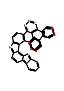 c1ccc(-c2ccccc2-c2c(-c3ccccc3)nnnc2-c2ccc3c(c2-c2ccccc2)-c2c4c(ccc2=N3)=c2ccccc2=N4)cc1